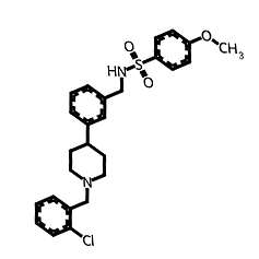 COc1ccc(S(=O)(=O)NCc2cccc(C3CCN(Cc4ccccc4Cl)CC3)c2)cc1